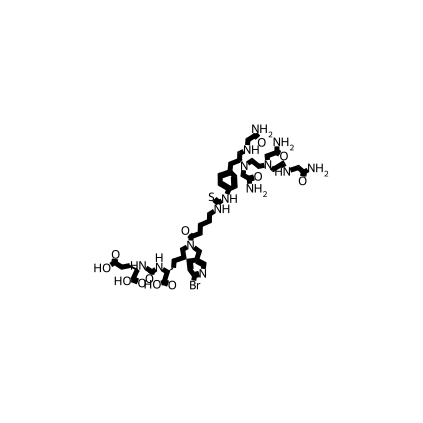 NC(=O)CNCCN(CCN(CC(N)=O)C(CNCC(N)=O)Cc1ccc(NC(=S)NCCCCC(=O)N(CCCC[C@@H](NC(=O)N[C@H](CCC(=O)O)C(=O)O)C(=O)O)Cc2ccc(Br)nc2)cc1)CC(N)=O